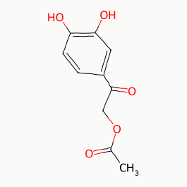 CC(=O)OCC(=O)c1ccc(O)c(O)c1